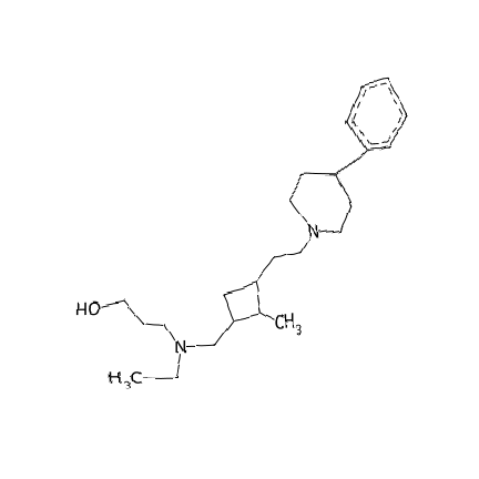 CCN(CCCO)CC1CC(CCN2CCC(c3ccccc3)CC2)C1C